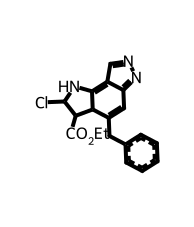 CCOC(=O)C1C(Cl)NC2=C3C=NN=C3C=C(Cc3ccccc3)C21